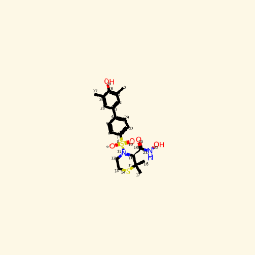 Cc1cc(-c2ccc(S(=O)(=O)N3CCSC(C)(C)[C@@H]3C(=O)NO)cc2)cc(C)c1O